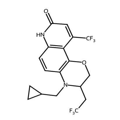 O=c1cc(C(F)(F)F)c2c3c(ccc2[nH]1)N(CC1CC1)C(CC(F)(F)F)CO3